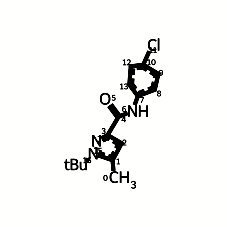 Cc1cc(C(=O)Nc2ccc(Cl)cc2)nn1C(C)(C)C